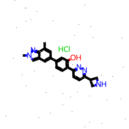 Cc1cc(-c2ccc(-c3ccc(C4CNC4)nn3)c(O)c2)cc2cn(C)nc12.Cl